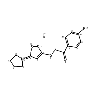 O=C(CSc1cc(=[N+]2CCCC2)ss1)c1ccc(F)cc1.[I-]